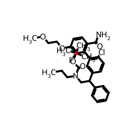 CCCN(CC(c1ccccc1)c1ccc(Cl)c(-c2c(C(N)=O)ccc(OCCOC)c2F)c1)C(=O)OC(C)(C)C